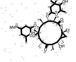 CC[C@@]12C[C@@]1(C)[C@H](O)[C@@H](C)C(=O)[C@H](C)C[C@](C)(O)[C@H](OC1CC(NC)CC(C)O1)[C@@H](C)[C@H](OC1CC(C)(OC)C(O)C(C)O1)[C@@H](C)C(=O)O2